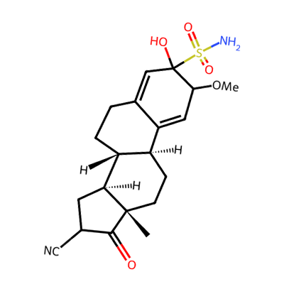 COC1C=C2C(=CC1(O)S(N)(=O)=O)CC[C@@H]1[C@@H]2CC[C@]2(C)C(=O)C(C#N)C[C@@H]12